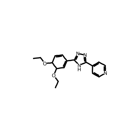 CCOC1C=CC(c2nnc(-c3ccncc3)[nH]2)=CC1OCC